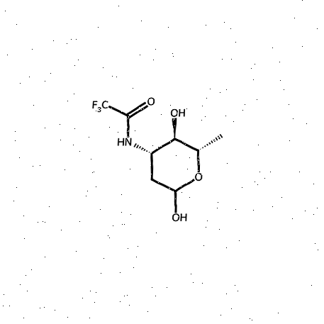 C[C@@H]1OC(O)C[C@H](NC(=O)C(F)(F)F)[C@H]1O